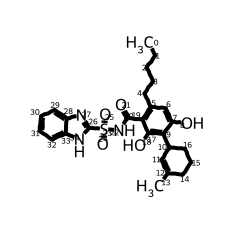 CCCCCc1cc(O)c(C2C=C(C)CCC2)c(O)c1C(=O)NS(=O)(=O)c1nc2ccccc2[nH]1